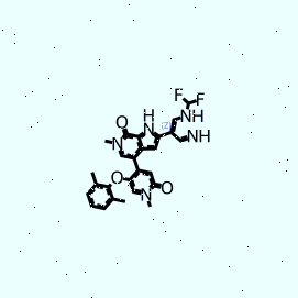 Cc1cccc(C)c1Oc1cn(C)c(=O)cc1-c1cn(C)c(=O)c2[nH]c(/C(C=N)=C/NC(F)F)cc12